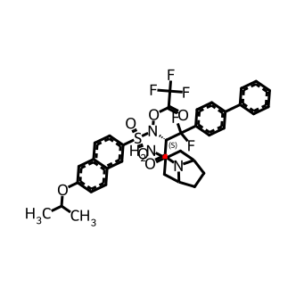 CC(C)Oc1ccc2cc(S(=O)(=O)N(OC(=O)C(F)(F)F)[C@@H](C(=O)N3C4CCC3CC(N)C4)C(F)(F)c3ccc(-c4ccccc4)cc3)ccc2c1